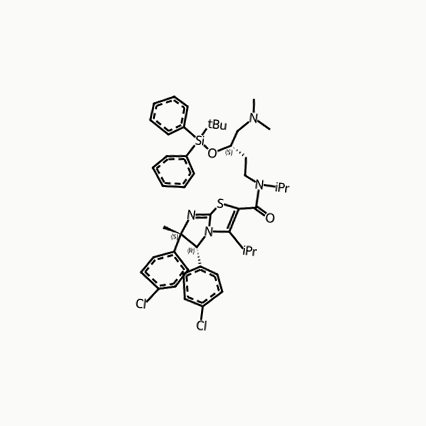 CC(C)C1=C(C(=O)N(CC[C@@H](CN(C)C)O[Si](c2ccccc2)(c2ccccc2)C(C)(C)C)C(C)C)SC2=N[C@@](C)(c3ccc(Cl)cc3)[C@@H](c3ccc(Cl)cc3)N21